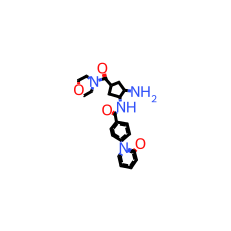 NC1CC(C(=O)N2CCOCC2)CC1NC(=O)c1ccc(-n2ccccc2=O)cc1